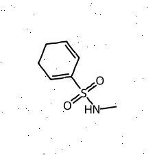 CNS(=O)(=O)C1=CCCC=C1